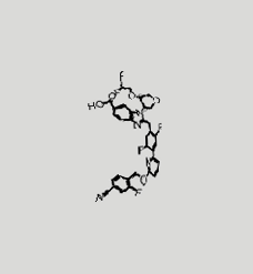 N#Cc1ccc(COc2cccc(-c3cc(F)c(Cc4nc5ccc(C(=O)O)cc5n4[C@H]4COC[C@H]4OCC(F)F)cc3F)n2)c(F)c1